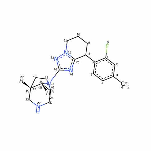 Fc1cc(C(F)(F)F)ccc1C1CCCn2nc(N3[C@H]4[C@H]5CC[C@]43CNC5)nc21